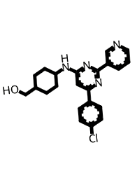 OCC1CCC(Nc2cc(-c3ccc(Cl)cc3)nc(-c3cccnc3)n2)CC1